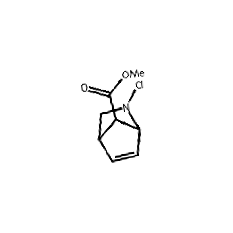 COC(=O)C1C2C=CC1N(Cl)C2